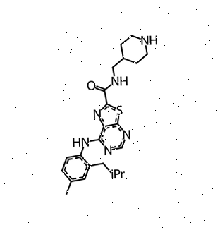 Cc1ccc(Nc2ncnc3sc(C(=O)NCC4CCNCC4)nc23)c(CC(C)C)c1